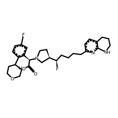 O=C(O)[C@@H](c1cc(F)ccc1C1CCOCC1)N1CC[C@@H]([C@H](F)CCCCc2ccc3c(n2)NCCC3)C1